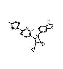 Cc1ccc(-c2ccc(C3C(C4CC4)C(=O)N3c3ccc4[nH]cnc4c3)c(C)n2)nn1